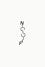 N#C[C@H]1CC[C@H]([C@H]2CC[C@H](CC=CF)CC2)CC1